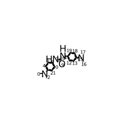 CN(C)c1ccc(NC(=O)Nc2ccc(N(C)C)cc2)cc1